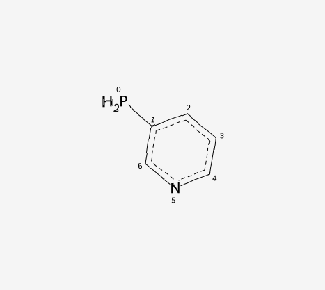 Pc1cccnc1